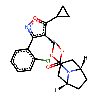 CC(C)(C)OC(=O)N1[C@@H]2CC[C@H]1CC(OCc1c(-c3ccccc3Cl)noc1C1CC1)C2